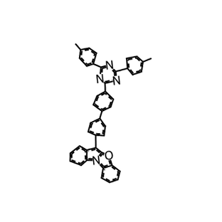 Cc1ccc(-c2nc(-c3ccc(C)cc3)nc(-c3ccc(-c4ccc(-c5c6ccccc6n6c5oc5ccccc56)cc4)cc3)n2)cc1